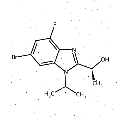 CC(C)n1c([C@H](C)O)nc2c(F)cc(Br)cc21